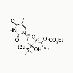 C=CC(OC(=O)OCC)[C@H]1O[C@@H](n2cc(C)c(=O)[nH]c2=O)C[C@@]1(O)[Si](C)(C)C(C)(C)C